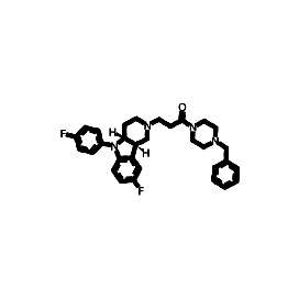 O=C(CCN1CC[C@@H]2[C@@H](C1)c1cc(F)ccc1N2c1ccc(F)cc1)N1CCN(Cc2ccccc2)CC1